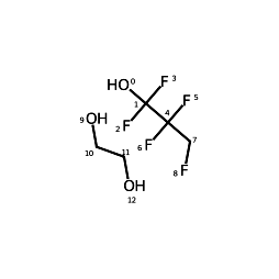 OC(F)(F)C(F)(F)CF.OCCO